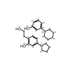 OCCc1ccc(N2CCCC2)cc1O.Oc1cccc(N2CCCCC2)c1